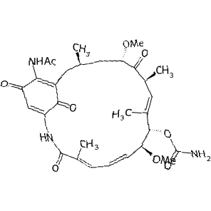 CO[C@H]1C[C@H](C)CC2=C(NC(C)=O)C(=O)C=C(NC(=O)/C(C)=C/C=C\[C@H](OC)[C@@H](OC(N)=O)/C(C)=C/[C@H](C)C1=O)C2=O